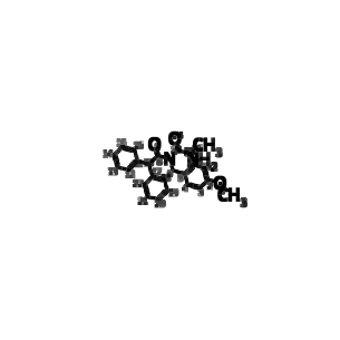 COc1ccc(CN(C(=O)C(c2ccccc2)c2ccccc2)C(=O)[C@H](C)N)cc1